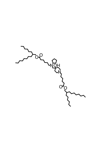 CCCCCCCCC(CCCCCC)COC(=O)CCCCCN1CCC(O)(CN(CCCCCC(=O)OCC(CCCCCC)CCCCCCCC)C2CCCC2)CC1